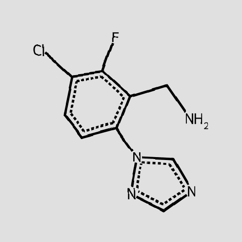 NCc1c(-n2cncn2)ccc(Cl)c1F